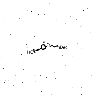 CCCCCCCCCCCCCCOc1ccc(C#CC(C)(C)O)cc1F